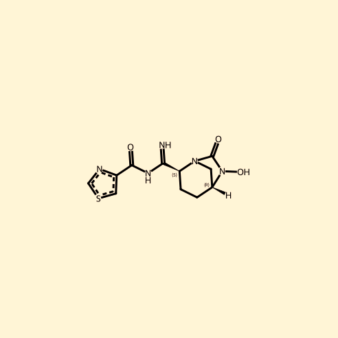 N=C(NC(=O)c1cscn1)[C@@H]1CC[C@@H]2CN1C(=O)N2O